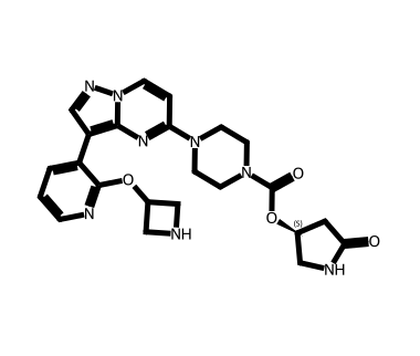 O=C1C[C@H](OC(=O)N2CCN(c3ccn4ncc(-c5cccnc5OC5CNC5)c4n3)CC2)CN1